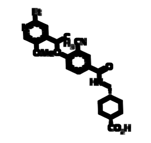 CCc1cc(C(C)Oc2ccc(C(=O)NC[C@H]3CC[C@H](C(=O)O)CC3)cc2C#N)c(OC)cn1